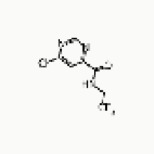 O=C(NCC(F)(F)F)c1cc(Cl)ncn1